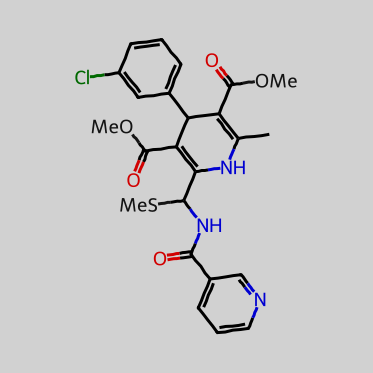 COC(=O)C1=C(C)NC(C(NC(=O)c2cccnc2)SC)=C(C(=O)OC)C1c1cccc(Cl)c1